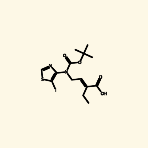 CC/C(=C\CN(C(=O)OC(C)(C)C)c1ncsc1I)C(=O)O